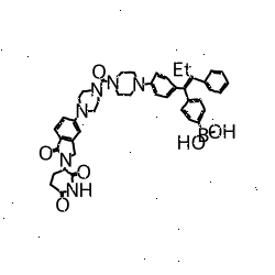 CC/C(=C(/c1ccc(B(O)O)cc1)c1ccc(N2CCN(C(=O)N3CCN(c4ccc5c(c4)CN([C@@H]4CCC(=O)NC4=O)C5=O)CC3)CC2)cc1)c1ccccc1